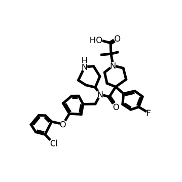 CC(C)(C(=O)O)N1CCC(C(=O)N(Cc2cccc(Oc3ccccc3Cl)c2)C2CCNCC2)(c2ccc(F)cc2)CC1